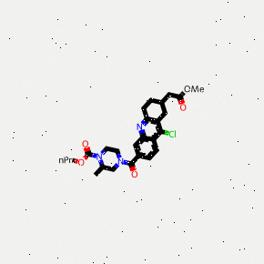 CCCOC(=O)N1CCN(C(=O)c2ccc3c(Cl)c4c(nc3c2)CCC(CC(=O)OC)C4)CC1C